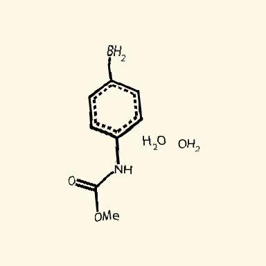 Bc1ccc(NC(=O)OC)cc1.O.O